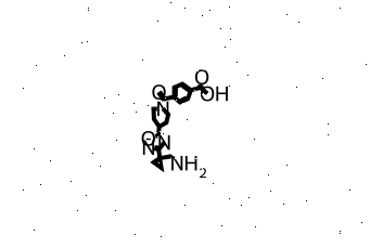 NCC1(c2noc(C3CCN(C(=O)c4ccc(C(=O)O)cc4)CC3)n2)CC1